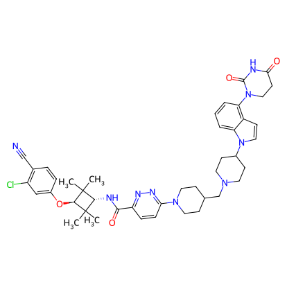 CC1(C)[C@H](NC(=O)c2ccc(N3CCC(CN4CCC(n5ccc6c(N7CCC(=O)NC7=O)cccc65)CC4)CC3)nn2)C(C)(C)[C@H]1Oc1ccc(C#N)c(Cl)c1